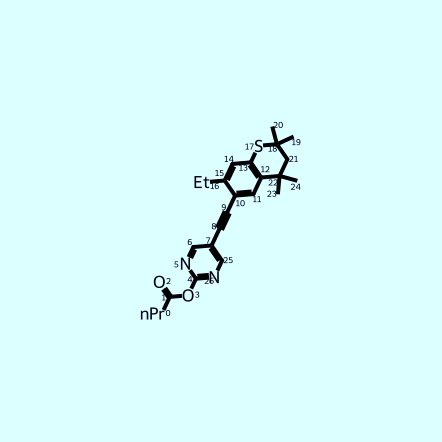 CCCC(=O)Oc1ncc(C#Cc2cc3c(cc2CC)SC(C)(C)CC3(C)C)cn1